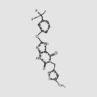 Cc1cc(Cn2c(=O)[nH]c3nc(Oc4cccc(C(F)(F)F)c4)[nH]c3c2=O)no1